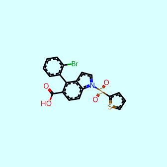 O=C(O)c1ccc2c(ccn2S(=O)(=O)c2cccs2)c1-c1ccccc1Br